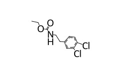 CCOC(=O)NCCc1ccc(Cl)c(Cl)c1